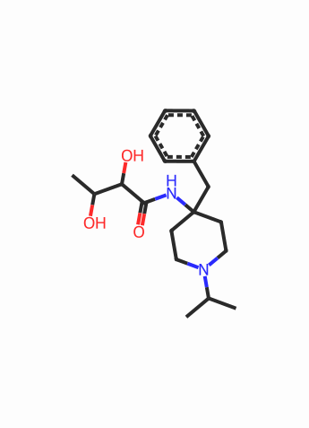 CC(O)C(O)C(=O)NC1(Cc2ccccc2)CCN(C(C)C)CC1